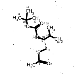 CC(=O)SC[C@H](NC(=O)OC(C)(C)C)C(C)C